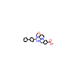 COC(=O)c1ccc([C@H](C)Nc2nccc3c2N(Cc2ccc(-c4ccccc4)cc2)CCO3)cc1